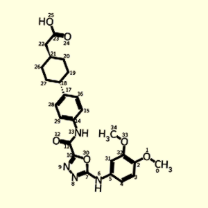 COc1ccc(Nc2nnc(C(=O)Nc3ccc([C@H]4CC[C@H](CC(=O)O)CC4)cc3)o2)cc1OC